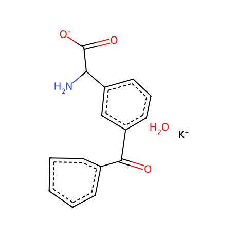 NC(C(=O)[O-])c1cccc(C(=O)c2ccccc2)c1.O.[K+]